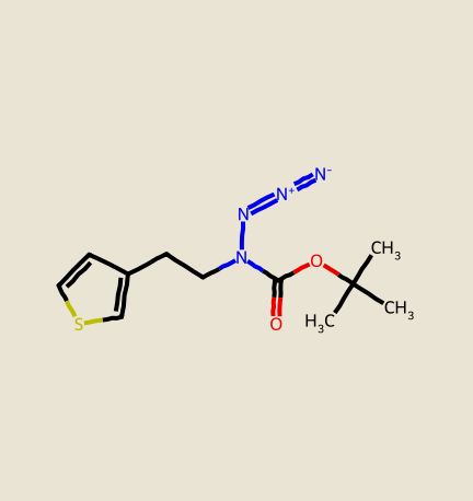 CC(C)(C)OC(=O)N(CCc1ccsc1)N=[N+]=[N-]